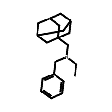 CCN(Cc1ccccc1)CC12CC3CC(CC(C3)C1)C2